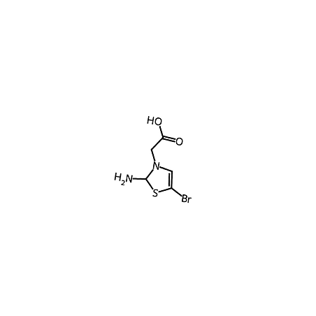 NC1SC(Br)=CN1CC(=O)O